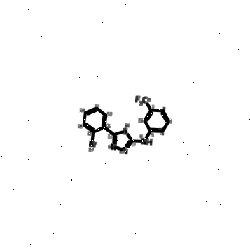 FC(F)(F)c1cccc(Nc2nnc(-c3ccccc3Br)s2)c1